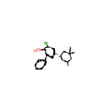 CC1C[C@H](c2cc(Br)c(O)c(-c3ccccc3)c2)CC(C)(C)C1